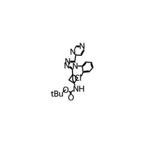 CC(C)(C)OC(=O)NC12CC(c3nnc(-c4ccncn4)n3-c3ccccc3Cl)(C1)C2